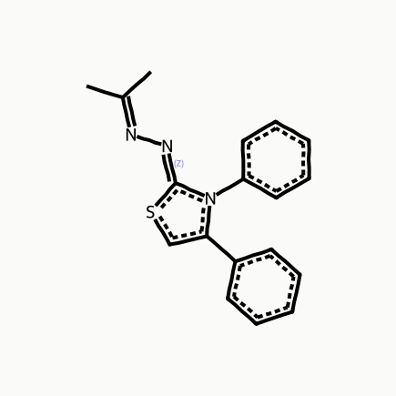 CC(C)=N/N=c1\scc(-c2ccccc2)n1-c1ccccc1